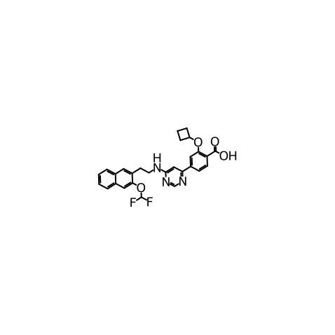 O=C(O)c1ccc(-c2cc(NCCc3cc4ccccc4cc3OC(F)F)ncn2)cc1OC1CCC1